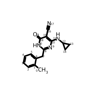 Cc1ccccc1Cc1nc(NC2CC2)c(C#N)c(=O)[nH]1